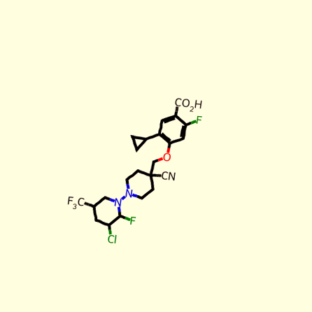 N#CC1(COc2cc(F)c(C(=O)O)cc2C2CC2)CCN(N2CC(C(F)(F)F)CC(Cl)C2F)CC1